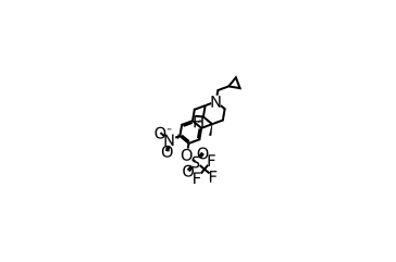 C[C@H]1C2Cc3cc([N+](=O)[O-])c(OS(=O)(=O)C(F)(F)F)cc3[C@@]1(C)CCN2CC1CC1